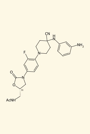 CC(=O)NC[C@H]1CN(c2ccc(N3CCC(C#N)(Nc4cccc(N)c4)CC3)c(F)c2)C(=O)O1